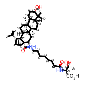 C=C(C)[C@@H]1CC[C@]2(C(=O)NCCCCCCCC(=O)N[C@H](C(=O)O)[C@@H](C)O)CC[C@]3(C)[C@H](CCC4[C@@]5(C)CC[C@H](O)C(C)(C)[C@@H]5CC[C@]43C)[C@@H]12